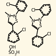 CN1C=C(c2ccccc2Cl)SN1c1ccccc1Cl.CN1C=C(c2ccccc2Cl)SN1c1ccccc1Cl.O=S(=O)(O)O